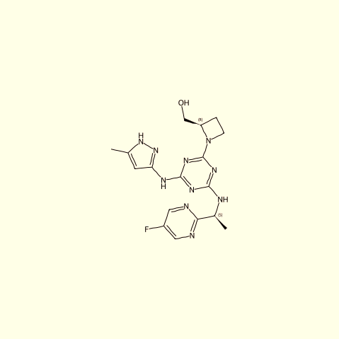 Cc1cc(Nc2nc(N[C@@H](C)c3ncc(F)cn3)nc(N3CC[C@@H]3CO)n2)n[nH]1